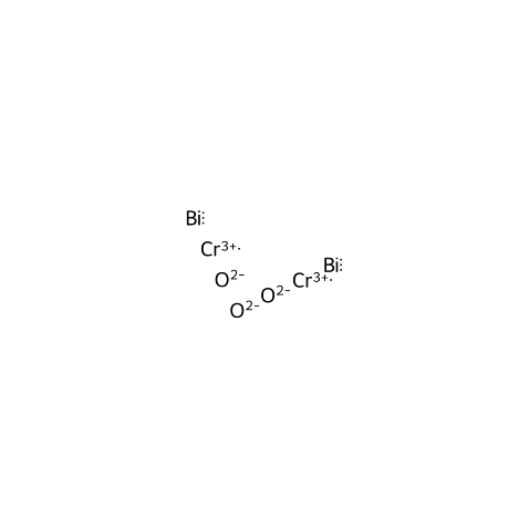 [Bi].[Bi].[Cr+3].[Cr+3].[O-2].[O-2].[O-2]